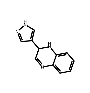 C1=Nc2ccccc2NC1c1cn[nH]c1